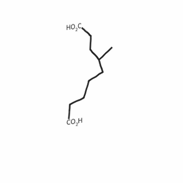 CC(CCCCC(=O)O)CCC(=O)O